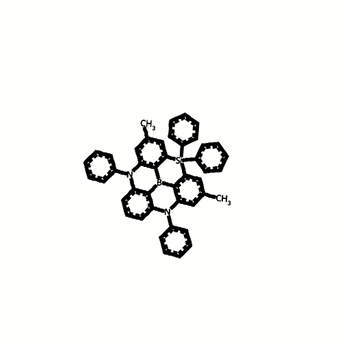 Cc1cc2c3c(c1)[Si](c1ccccc1)(c1ccccc1)c1cc(C)cc4c1B3c1c(cccc1N4c1ccccc1)N2c1ccccc1